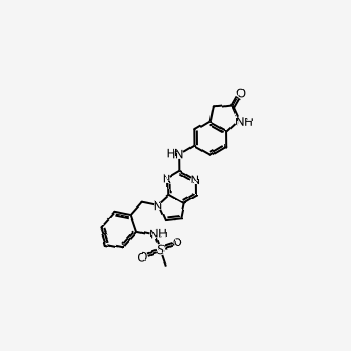 CS(=O)(=O)Nc1ccccc1Cn1ccc2cnc(Nc3ccc4c(c3)CC(=O)N4)nc21